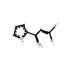 C=C(C=C(F)F)c1c[c]co1